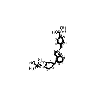 CC(C)(O)CN1CCC(c2ccnc3c2ccn3Cc2ccc(C(O)NO)cc2)CC1